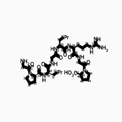 CC(C)C[C@H](NC(=O)CNC(=O)[C@H](CC(C)C)NC(=O)[C@@H]1CCCN1C(=O)CN)C(=O)N[C@@H](CCCNC(=N)N)C(=O)NCC(=O)N1CCC[C@H]1C(=O)O